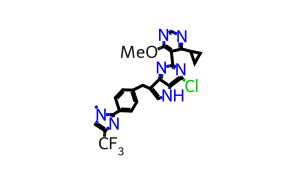 COc1ncnc(C2CC2)c1-c1nc(Cl)c2[nH]cc(Cc3ccc(-c4nc(C(F)(F)F)cn4C)cc3)c2n1